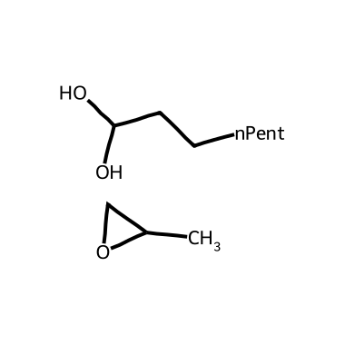 CC1CO1.CCCCCCCC(O)O